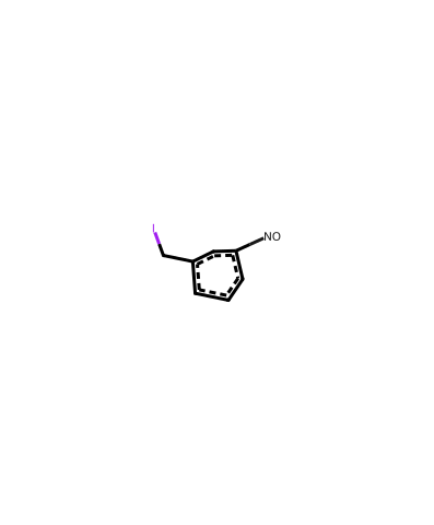 O=Nc1cccc(CI)c1